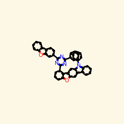 c1ccc(-c2nc(-c3ccc4c(c3)oc3ccccc34)nc(-c3cccc4oc5cc6c7ccccc7n(-c7ccccc7)c6cc5c34)n2)cc1